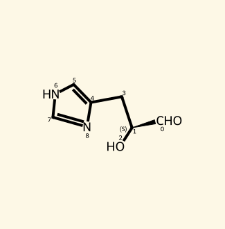 O=C[C@@H](O)Cc1c[nH]cn1